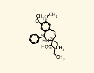 CCC[C@@H](O)[C@@]1(CC)CSc2cc(OC)c(OC)cc2[C@H](c2ccccc2)N1